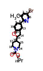 Cc1cc(Br)cnc1-c1ccc2c(c1)CC(C1CCN(C(=O)OC(C)C)CC1)O2